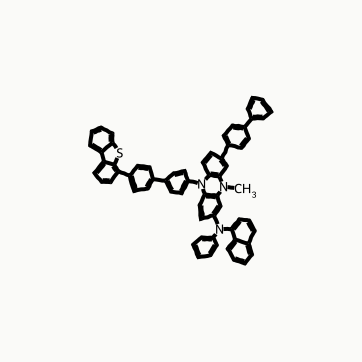 CN1c2cc(-c3ccc(-c4ccccc4)cc3)ccc2N(c2ccc(-c3ccc(-c4cccc5c4sc4ccccc45)cc3)cc2)c2ccc(N(c3ccccc3)c3cccc4ccccc34)cc21